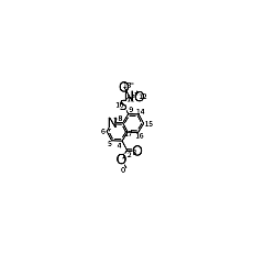 COC(=O)c1ccnc2c(S[N+](=O)[O-])cccc12